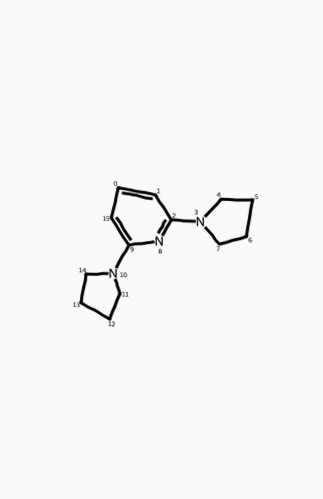 c1cc(N2CCCC2)nc(N2CCCC2)c1